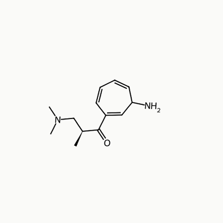 C[C@@H](CN(C)C)C(=O)C1=CC(N)C=CC=C1